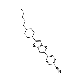 CCCCCC1CCC(c2cc3sc(-c4ccc(C#N)cc4)cc3s2)CC1